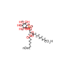 CCCCCCCCCCCCCCCC(=O)OC[C@H](COP(=O)(O)OC1C(O)C(O)C(O)[C@@H](O)C1O)OC(=O)CCCCCCCC(=O)O